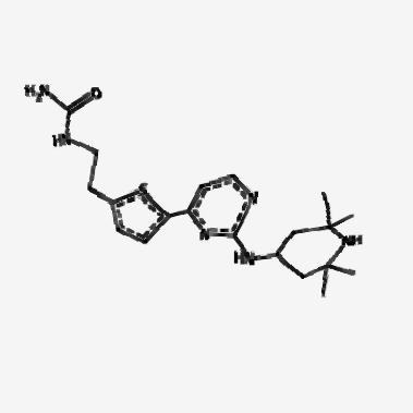 CC1(C)CC(Nc2nccc(-c3ccc(CCNC(N)=O)s3)n2)CC(C)(C)N1